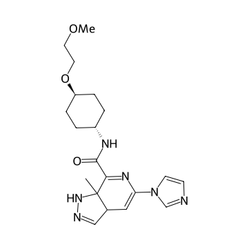 COCCO[C@H]1CC[C@H](NC(=O)C2=NC(n3ccnc3)=CC3C=NNC23C)CC1